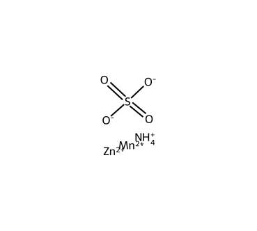 O=S(=O)([O-])[O-].[Mn+2].[NH4+].[Zn+2]